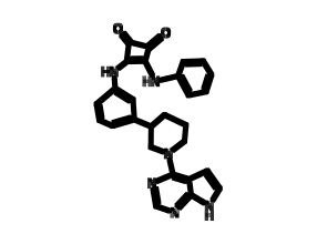 O=c1c(Nc2ccccc2)c(Nc2cccc(C3CCCN(c4ncnc5[nH]ccc45)C3)c2)c1=O